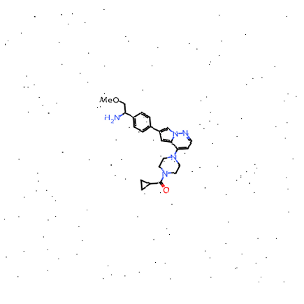 COCC(N)c1ccc(-c2cc3c(N4CCN(C(=O)C5CC5)CC4)ccnn3c2)cc1